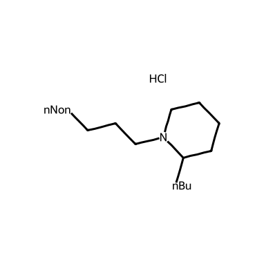 CCCCCCCCCCCCN1CCCCC1CCCC.Cl